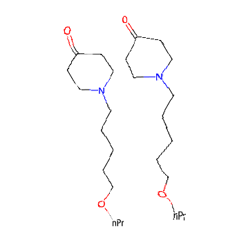 CCCOCCCCCN1CCC(=O)CC1.CCCOCCCCCN1CCC(=O)CC1